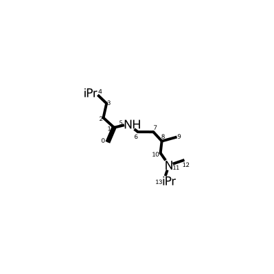 C=C(CCC(C)C)NCCC(C)CN(C)C(C)C